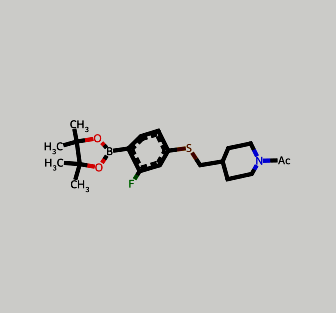 CC(=O)N1CCC(CSc2ccc(B3OC(C)(C)C(C)(C)O3)c(F)c2)CC1